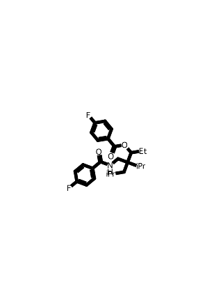 CCC(OC(=O)c1ccc(F)cc1)C(CNC(=O)c1ccc(F)cc1)(CC(C)C)C(C)C